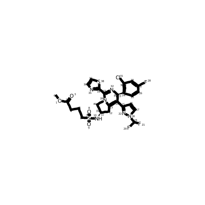 COC(=O)CCCS(=O)(=O)N[C@H]1CC2=C(c3ccn(C(F)F)n3)[C@H](c3ccc(F)cc3Cl)N=C(c3nccs3)N2C1